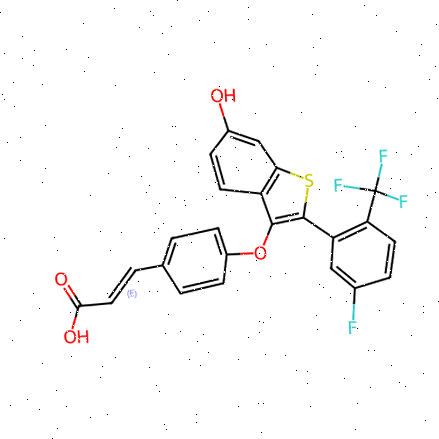 O=C(O)/C=C/c1ccc(Oc2c(-c3cc(F)ccc3C(F)(F)F)sc3cc(O)ccc23)cc1